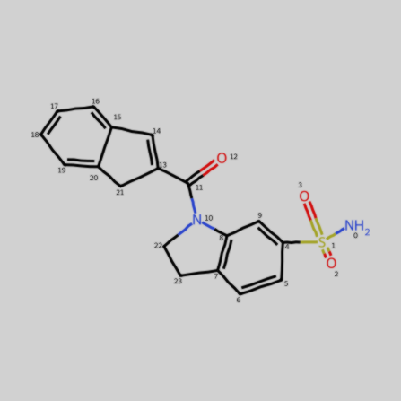 NS(=O)(=O)c1ccc2c(c1)N(C(=O)C1=Cc3ccccc3C1)CC2